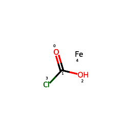 O=C(O)Cl.[Fe]